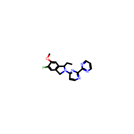 CCC1c2cc(OC)c(F)cc2CN1c1ccnc(-c2ncccn2)n1